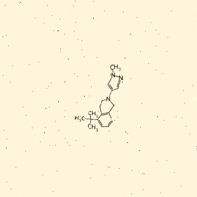 Cn1cc(N2CCc3c(cccc3C(C)(C)C)C2)cn1